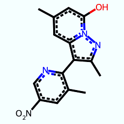 Cc1cc(O)n2nc(C)c(-c3ncc([N+](=O)[O-])cc3C)c2c1